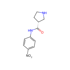 O=C(Nc1ccc([N+](=O)[O-])cc1)[C@@H]1CCNC1